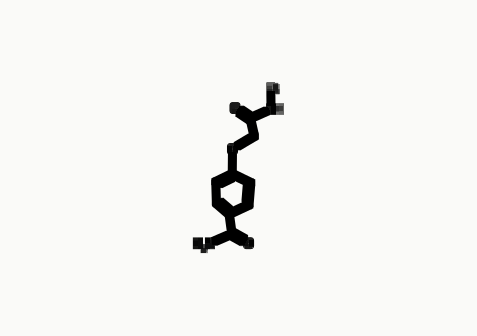 CCNC(=O)COc1ccc(C(N)=O)cc1